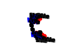 COC(=O)NC(=O)N[C@H](C(=O)N1C[C@@H](SC)C[C@H]1c1ncc(-c2ccc(-c3ccc(-c4cnc([C@@H]5C[C@H](SC)CN5C(=O)[C@@H](NC(=O)NC(=O)OC)c5ccccc5)[nH]4)cc3)cc2)[nH]1)c1ccccc1